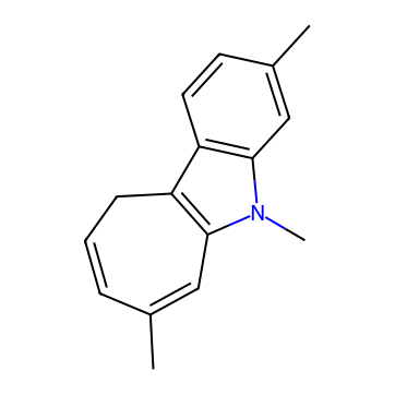 CC1=Cc2c(c3ccc(C)cc3n2C)CC=C1